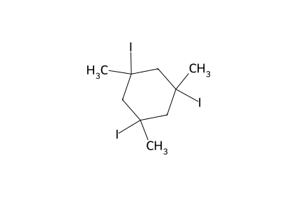 CC1(I)CC(C)(I)CC(C)(I)C1